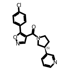 O=C(c1cnoc1-c1ccc(Cl)cc1)N1CC[C@@H](c2cccnc2)C1